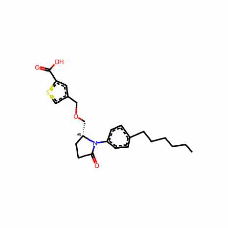 CCCCCCc1ccc(N2C(=O)CC[C@@H]2COCc2csc(C(=O)O)c2)cc1